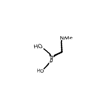 CNCB(O)O